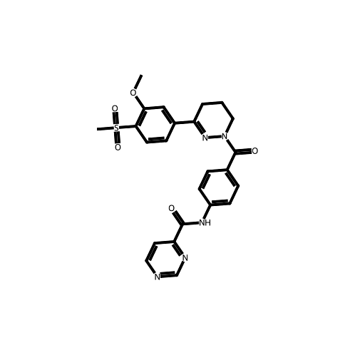 COc1cc(C2=NN(C(=O)c3ccc(NC(=O)c4ccncn4)cc3)CCC2)ccc1S(C)(=O)=O